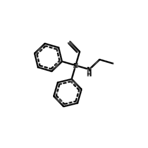 C=C[Si](NCC)(c1ccccc1)c1ccccc1